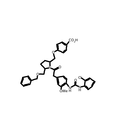 COc1cc(CC(=O)N2C(COCc3ccccc3)CCC2COc2ccc(C(=O)O)cc2)ccc1NC(=O)Nc1ccccc1Cl